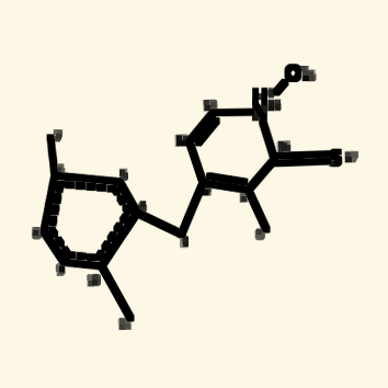 CC1=C(Cc2cc(C)ccc2C)C=C[NH+]([O-])C1=S